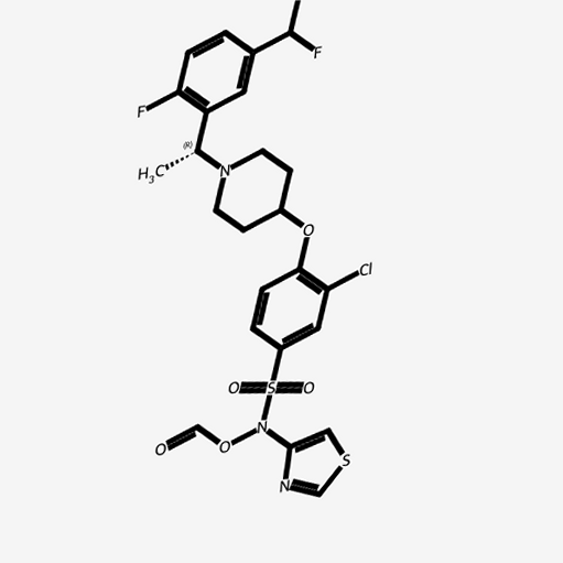 C[C@H](c1cc(C(F)F)ccc1F)N1CCC(Oc2ccc(S(=O)(=O)N(OC=O)c3cscn3)cc2Cl)CC1